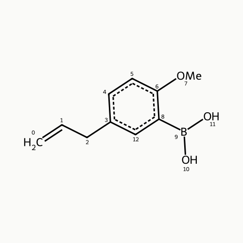 C=CCc1ccc(OC)c(B(O)O)c1